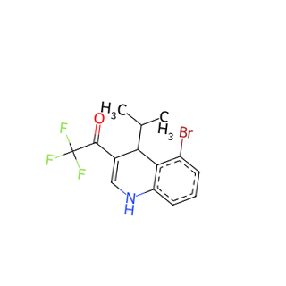 CC(C)C1C(C(=O)C(F)(F)F)=CNc2cccc(Br)c21